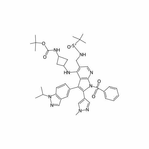 CC(C)n1ncc2cc(-c3c(-c4cnn(C)c4)n(S(=O)(=O)c4ccccc4)c4ncc(CN[S+]([O-])C(C)(C)C)c(NC5CC(NC(=O)OC(C)(C)C)C5)c34)ccc21